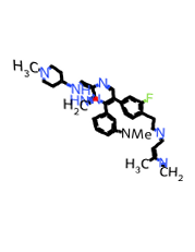 C=N/C(C)=C\C=N/CCc1ccc(C(/C=N\C(C=N)=C\NC2CCN(C)CC2)=C(/N=C)c2cccc(NC)c2)cc1F